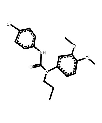 CCCN(C(=O)Nc1ccc(Cl)cc1)c1ccc(OC)c(OC)c1